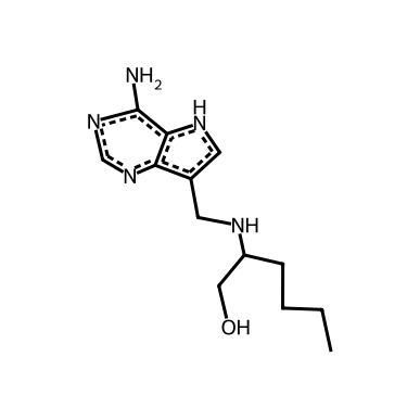 CCCCC(CO)NCc1c[nH]c2c(N)ncnc12